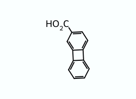 O=C(O)c1ccc2c(c1)-c1ccccc1-2